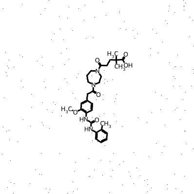 COc1cc(CC(=O)N2CCCN(C(=O)CCC(C)(C)C(=O)O)CC2)ccc1NC(=O)Nc1ccccc1C